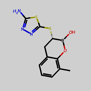 Cc1cccc2c1OB(O)[C@@H](Sc1nnc(N)s1)C2